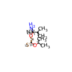 C=C(C)C(N)=O.CC(C)OC(=S)[S-].[Na+]